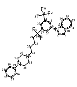 FC(F)(F)c1cc(-n2ccc3ccccc32)cc(C(F)(F)CCCCN2CCN(c3ccccc3)CC2)c1